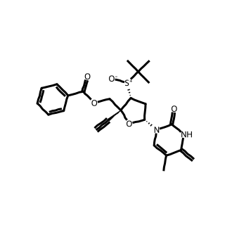 C#C[C@]1(COC(=O)c2ccccc2)O[C@@H](N2C=C(C)C(=C)NC2=O)C[C@H]1[S+]([O-])C(C)(C)C